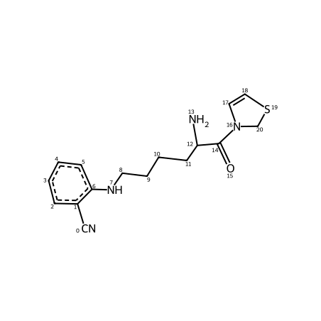 N#Cc1ccccc1NCCCCC(N)C(=O)N1C=CSC1